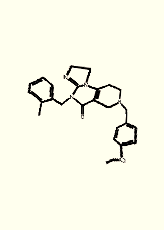 COc1ccc(CN2CCC3=C(C2)C(=O)N(Cc2ccccc2C)C2=NCCN23)cc1